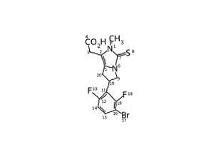 Cn1c(CC(=O)O)c2n(c1=S)CC(c1c(F)ccc(Br)c1F)C2